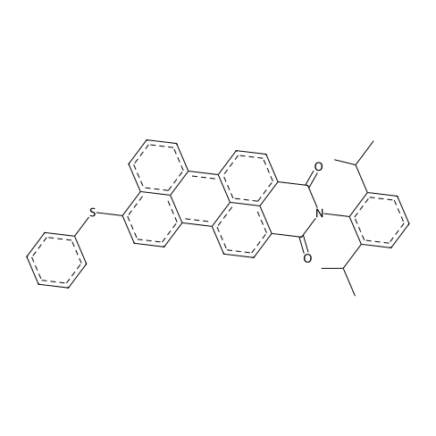 CC(C)c1cccc(C(C)C)c1N1C(=O)c2ccc3c4cccc5c(Sc6ccccc6)ccc(c6ccc(c2c36)C1=O)c54